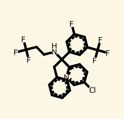 Fc1cc(C(F)(F)F)cc(C(Cc2ccccc2)(NCCC(F)(F)F)c2ccc(Cl)cn2)c1